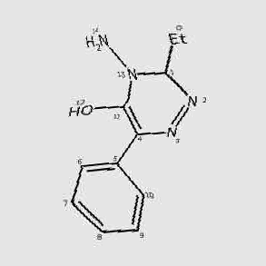 CCC1N=NC(c2ccccc2)=C(O)N1N